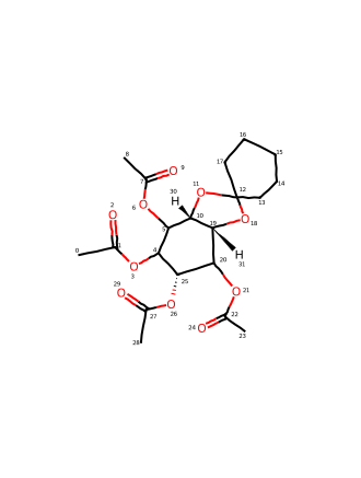 CC(=O)OC1C(OC(C)=O)[C@@H]2OC3(CCCCC3)O[C@@H]2C(OC(C)=O)[C@@H]1OC(C)=O